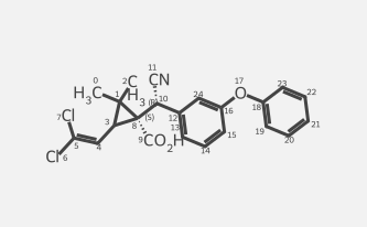 CC1(C)C(C=C(Cl)Cl)[C@]1(C(=O)O)[C@H](C#N)c1cccc(Oc2ccccc2)c1